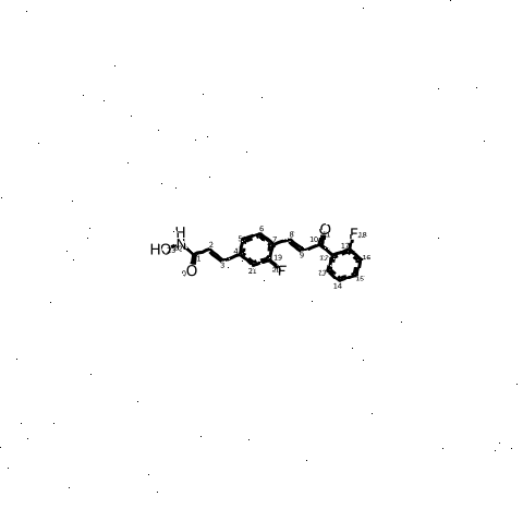 O=C(C=Cc1ccc(C=CC(=O)c2ccccc2F)c(F)c1)NO